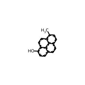 Cc1ccc2ccc3ccc(O)c4ccc1c2c34